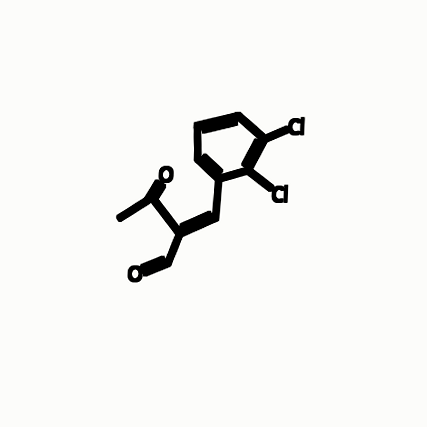 CC(=O)C(C=O)=Cc1cccc(Cl)c1Cl